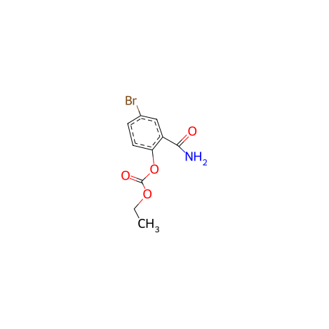 CCOC(=O)Oc1ccc(Br)cc1C(N)=O